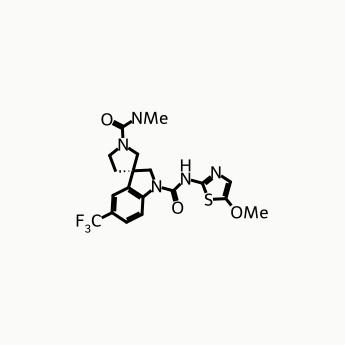 CNC(=O)N1CC[C@]2(C1)CN(C(=O)Nc1ncc(OC)s1)c1ccc(C(F)(F)F)cc12